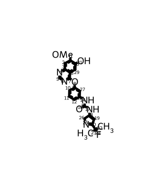 COc1cc2ncnc(Oc3cccc(NC(=O)NC4=CC(C(C)(C)F)=NC4)c3)c2cc1O